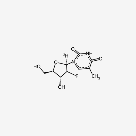 [2H][C@@]1(n2cc(C)c(=O)[nH]c2=O)O[C@H](CO)[C@@H](O)C1F